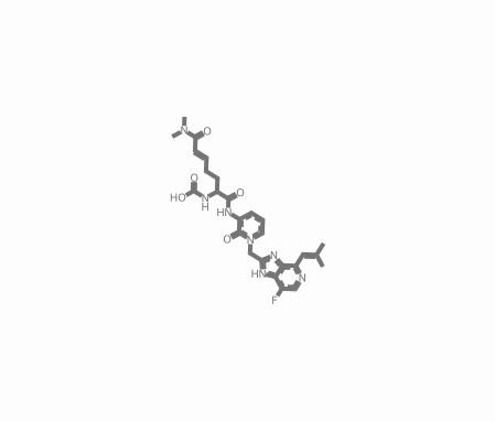 CC(C)=Cc1ncc(F)c2[nH]c(Cn3cccc(NC(=O)C(CCC=CC(=O)N(C)C)NC(=O)O)c3=O)nc12